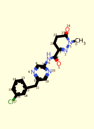 CN1N=C(C(=O)Nc2cnc(Cc3cccc(Cl)c3)cn2)CCC1=O